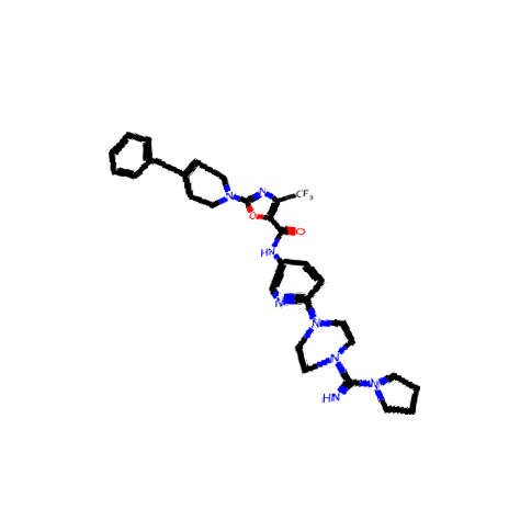 N=C(N1CCCC1)N1CCN(c2ccc(NC(=O)c3oc(N4CCC(c5ccccc5)CC4)nc3C(F)(F)F)cn2)CC1